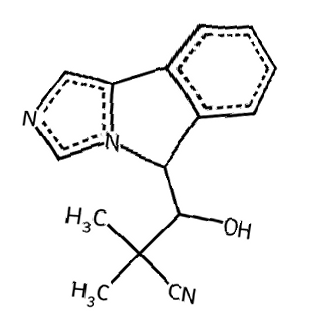 CC(C)(C#N)C(O)C1c2ccccc2-c2cncn21